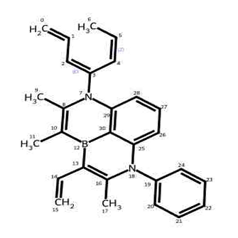 C=C/C=C(\C=C/C)N1C(C)=C(C)B2C(C=C)=C(C)N(c3ccccc3)c3cccc1c32